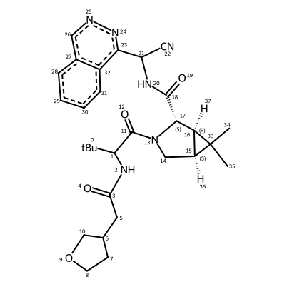 CC(C)(C)C(NC(=O)CC1CCOC1)C(=O)N1C[C@H]2[C@@H]([C@H]1C(=O)NC(C#N)c1nncc3ccccc13)C2(C)C